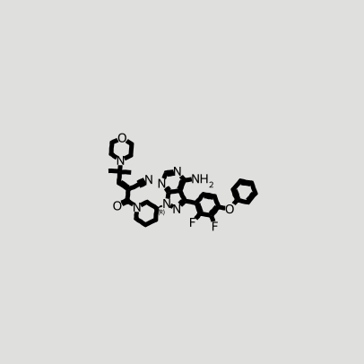 CC(C)(C=C(C#N)C(=O)N1CCC[C@@H](n2nc(-c3ccc(Oc4ccccc4)c(F)c3F)c3c(N)ncnc32)C1)N1CCOCC1